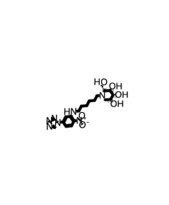 O=[N+]([O-])c1ccc(-n2cnnn2)cc1NCCCCCCN1C[C@H](O)[C@@H](O)[C@H](O)[C@H]1CO